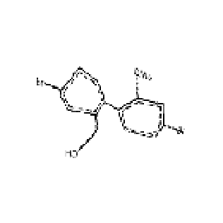 COc1cc(Br)ccc1-c1ccc(Br)cc1CO